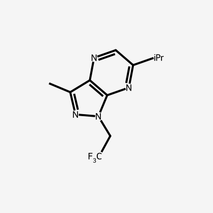 Cc1nn(CC(F)(F)F)c2nc(C(C)C)cnc12